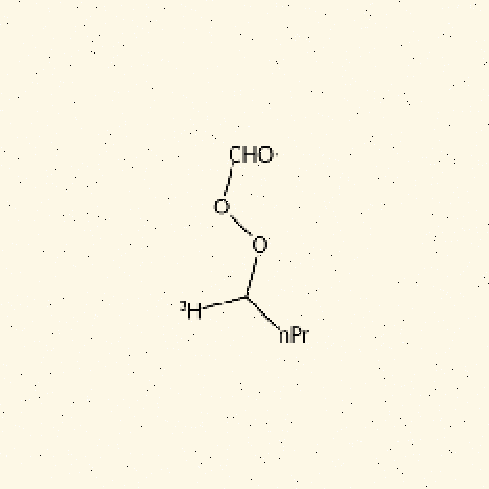 [3H]C(CCC)OO[C]=O